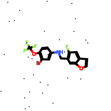 Fc1cc2ccoc2cc1CNc1ccc(OC(F)(F)F)c(Br)c1